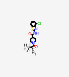 CC(C)(C)C(=O)N1CCC(C(=O)Nc2nc3c(Cl)cccc3s2)CC1